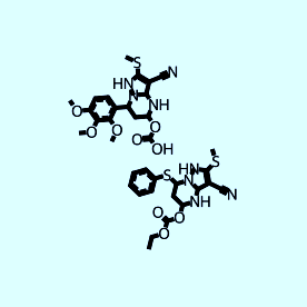 CCOC(=O)OC1CC(Sc2ccccc2)N2NC(SC)=C(C#N)C2N1.COc1ccc(C2CC(OC(=O)O)NC3C(C#N)=C(SC)NN32)c(OC)c1OC